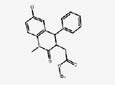 CN1C(=O)C(CC(=O)OC(C)(C)C)C(c2ccccc2)c2cc(Cl)ccc21